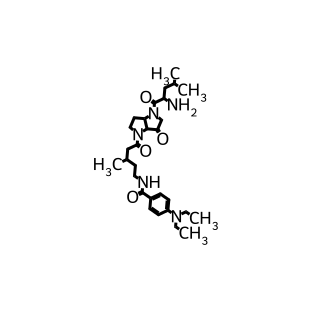 CCN(CC)c1ccc(C(=O)NCCC(C)CC(=O)N2CCC3C2C(=O)CN3C(=O)C(N)CC(C)C)cc1